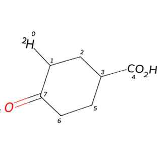 [2H]C1CC(C(=O)O)CCC1=O